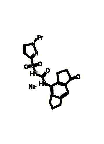 CC(C)n1ccc(S(=O)(=O)NC(=O)Nc2c3c(cc4c2CCC4=O)CCC3)n1.[Na]